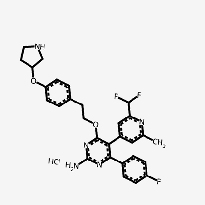 Cc1cc(-c2c(OCCc3ccc(OC4CCNC4)cc3)nc(N)nc2-c2ccc(F)cc2)cc(C(F)F)n1.Cl